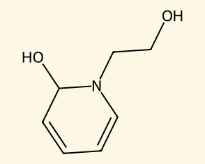 OCCN1C=CC=CC1O